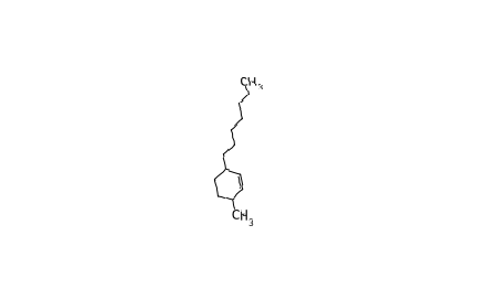 CCCCCCCC1C=CC(C)CC1